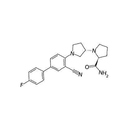 N#Cc1cc(-c2ccc(F)cc2)ccc1N1CC[C@H](N2CCC[C@H]2C(N)=O)C1